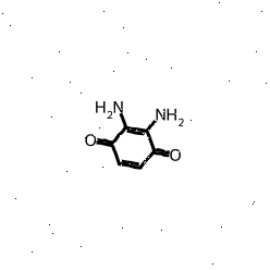 NC1=C(N)C(=O)C=CC1=O